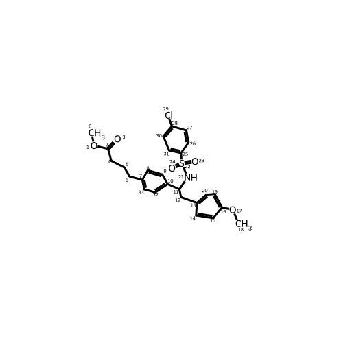 COC(=O)CCCc1ccc(C(Cc2ccc(OC)cc2)NS(=O)(=O)c2ccc(Cl)cc2)cc1